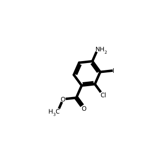 COC(=O)c1ccc(N)c(I)c1Cl